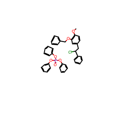 COc1ccc(CC(Cl)c2ccccc2)cc1OCc1ccccc1.O=P(Oc1ccccc1)(Oc1ccccc1)Oc1ccccc1